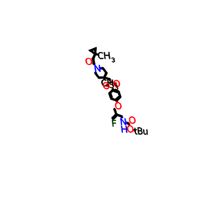 CC1(CS(=O)(=O)c2ccc(OC/C(=C/F)CNC(=O)OC(C)(C)C)cc2)CCN(C2OC2C2(C)CC2)CC1